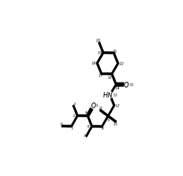 CCC(C)C(=O)C(C)CC(C)(C)CNC(=O)C1CCC(C)CC1